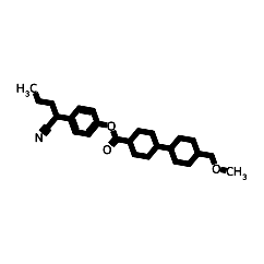 CCCC(C#N)c1ccc(OC(=O)C2CCC(C3CCC(COC)CC3)CC2)cc1